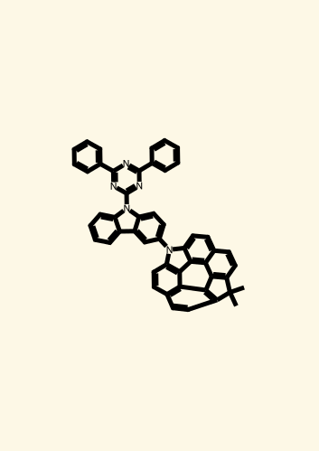 CC1(C)c2ccc3ccc4c5c3c2c2c1ccc1ccc(c5c12)n4-c1ccc2c(c1)c1ccccc1n2-c1nc(-c2ccccc2)nc(-c2ccccc2)n1